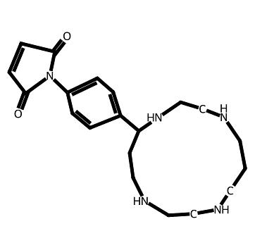 O=C1C=CC(=O)N1c1ccc(C2CCNCCNCCCNCCN2)cc1